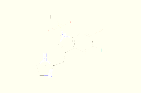 CS(=O)(=O)n1cc(CC2=NCCN2)c2cc(F)c(Br)cc21